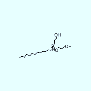 CCCCCCCCCCCCCN(OCCCO)OCCCO